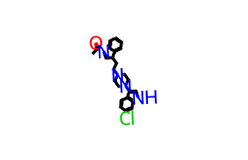 CC(=O)N1CC(CCN2CCN(c3c[nH]c4cc(Cl)ccc34)CC2)c2ccccc21